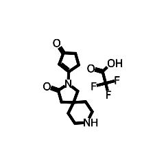 O=C(O)C(F)(F)F.O=C1C=C(N2CC3(CCNCC3)CC2=O)CC1